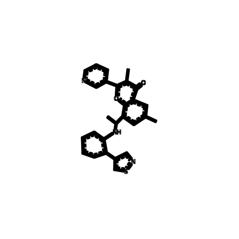 Cc1cc(C(C)Nc2ccccc2-c2cnsc2)c2oc(-c3cccnc3)c(C)c(=O)c2c1